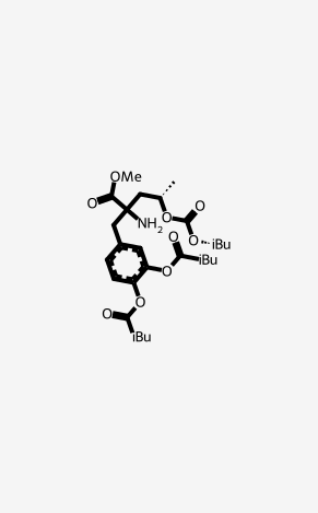 CCC(C)C(=O)Oc1ccc(CC(N)(C[C@H](C)OC(=O)O[C@@H](C)CC)C(=O)OC)cc1OC(=O)C(C)CC